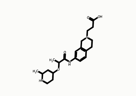 CC1CC(OC(C)C(=O)Nc2ccc3c(c2)CN(CCC(=O)O)CC3)CCN1